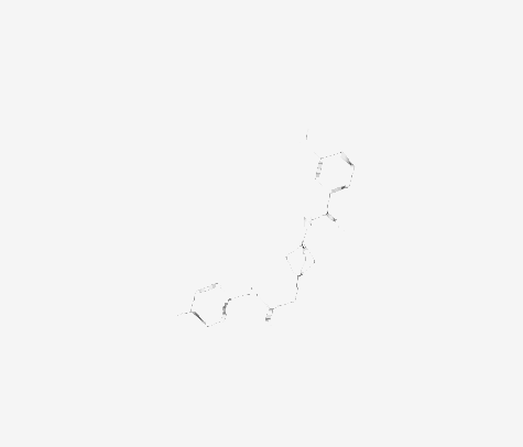 C[C@H](C(=O)Nc1ccc(F)cc1)C12CC(NC(=O)c3cccc(OC(F)(F)F)c3)(C1)C2